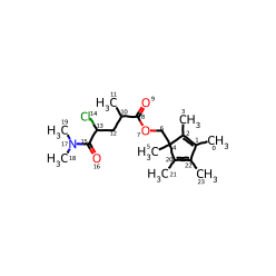 CC1=C(C)C(C)(COC(=O)C(C)CC(Cl)C(=O)N(C)C)C(C)=C1C